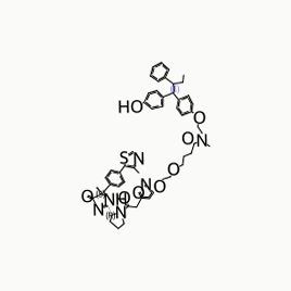 CC/C(=C(/c1ccc(O)cc1)c1ccc(OCCN(C)C(=O)CCCOCCOc2cc(CC(=O)N3CCC[C@@H]3C3=NC(=O)[C@](C)(c4ccc(-c5scnc5C)cc4)N3)on2)cc1)c1ccccc1